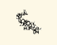 CCOC([C@H]1CC(C)C2[C@H](O1)C(O)C1(C)[C@@H]3CCC4C(C)(C)C(OC5CN(CCN(C)C)CCO5)CCC45CC35CCC21C)C(C)(C)O